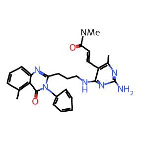 CNC(=O)/C=C/c1c(C)nc(N)nc1NCCCc1nc2cccc(C)c2c(=O)n1-c1ccccc1